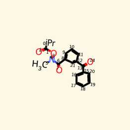 CC(C)C(=O)ON(C)C(=O)c1cccc(C(=O)c2ccccc2)c1